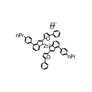 CCCc1ccc(-c2cccc3c2C=C(c2ccc(-c4ccccc4)o2)[CH]3[Zr+2][CH]2C(c3ccc(-c4ccccc4)o3)=Cc3c(-c4ccc(CCC)cc4)cccc32)cc1.[Cl-].[Cl-]